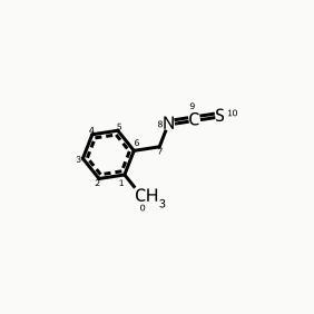 Cc1ccccc1CN=C=S